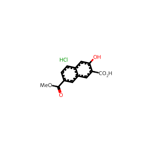 COC(=O)c1ccc2cc(O)c(C(=O)O)cc2c1.Cl